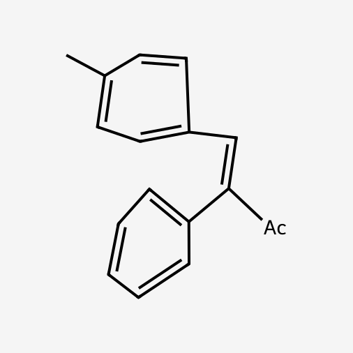 CC(=O)/C(=C/c1ccc(C)cc1)c1ccccc1